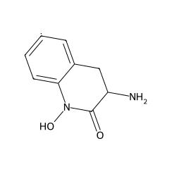 NC1Cc2c[c]ccc2N(O)C1=O